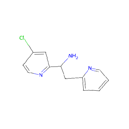 NC(Cc1ccccn1)c1cc(Cl)ccn1